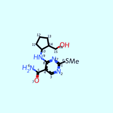 CSc1ncc(C(N)=O)c(NC2CCCC2CO)n1